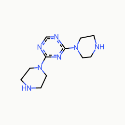 c1nc(N2CCNCC2)nc(N2CCNCC2)n1